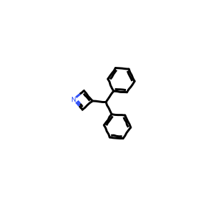 C1=NC=C1C(c1ccccc1)c1ccccc1